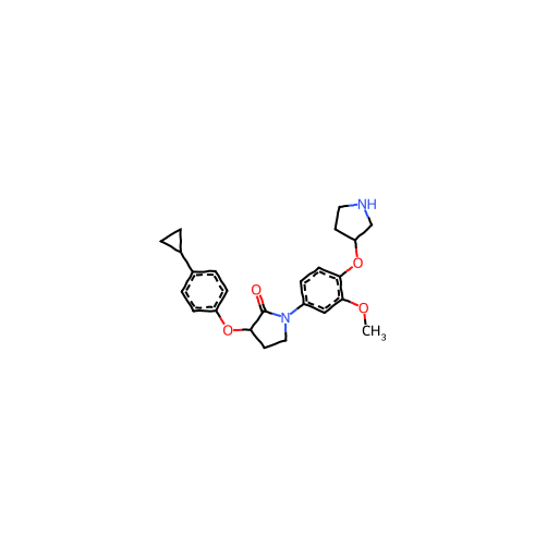 COc1cc(N2CCC(Oc3ccc(C4CC4)cc3)C2=O)ccc1OC1CCNC1